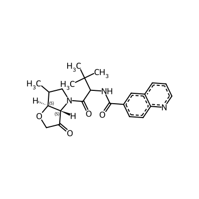 CC1CN(C(=O)C(NC(=O)c2ccc3ncccc3c2)C(C)(C)C)[C@@H]2C(=O)CO[C@@H]12